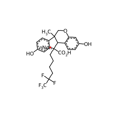 CCCCCCCCCC(CCCCC(F)(F)C(F)(F)F)(C(=O)O)C1c2ccc(O)cc2OCC1(C)c1ccc(O)cc1